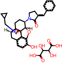 O=C(O)C(O)C(O)C(=O)O.O=C1C(=Cc2ccccc2)CCN1[C@@H]1CCC2(O)[C@H]3Cc4ccc(O)c5c4[C@@]2(CCN3CC2CC2)[C@H]1O5